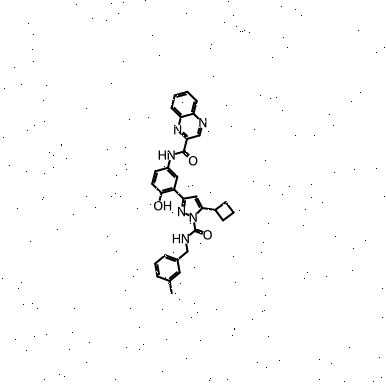 Cc1cccc(CNC(=O)n2nc(-c3cc(NC(=O)c4cnc5ccccc5n4)ccc3O)cc2C2CCC2)c1